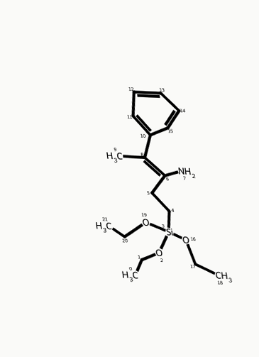 CCO[Si](CCC(N)=C(C)c1ccccc1)(OCC)OCC